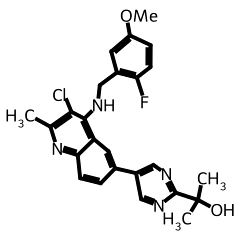 COc1ccc(F)c(CNc2c(Cl)c(C)nc3ccc(-c4cnc(C(C)(C)O)nc4)cc23)c1